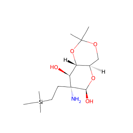 CC1(C)OC[C@H]2O[C@@H](O)[C@@](N)(CC[Si](C)(C)C)[C@@H](O)[C@@H]2O1